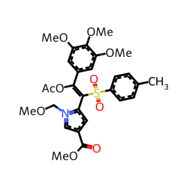 COCn1cc(C(=O)OC)cc1C(=C(OC(C)=O)c1cc(OC)c(OC)c(OC)c1)S(=O)(=O)c1ccc(C)cc1